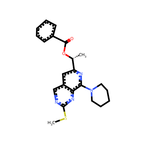 CSc1ncc2cc([C@@H](C)OC(=O)c3ccccc3)nc(N3CCCCC3)c2n1